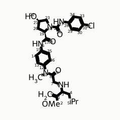 C=C(OC)C(CC(C)C)NCC(=O)N(C)c1ccc(NC(=O)[C@H]2C[C@@H](O)CN2C(=O)Nc2ccc(Cl)cc2)cc1